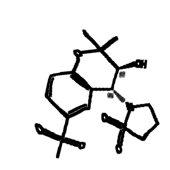 CC1(C)Oc2ccc(S(C)(=O)=O)cc2[C@@H](N2CCCS2(=O)=O)[C@@H]1O